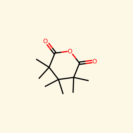 CC1(C)C(=O)OC(=O)C(C)(C)C1(C)C